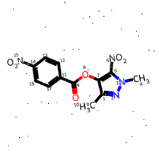 Cc1nn(C)c([N+](=O)[O-])c1OC(=O)c1ccc([N+](=O)[O-])cc1